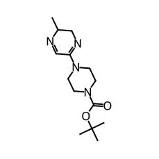 CC1CN=C(N2CCN(C(=O)OC(C)(C)C)CC2)C=N1